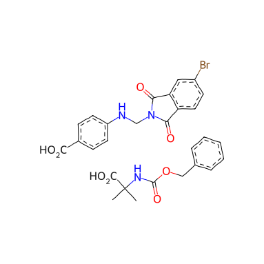 CC(C)(NC(=O)OCc1ccccc1)C(=O)O.O=C(O)c1ccc(NCN2C(=O)c3ccc(Br)cc3C2=O)cc1